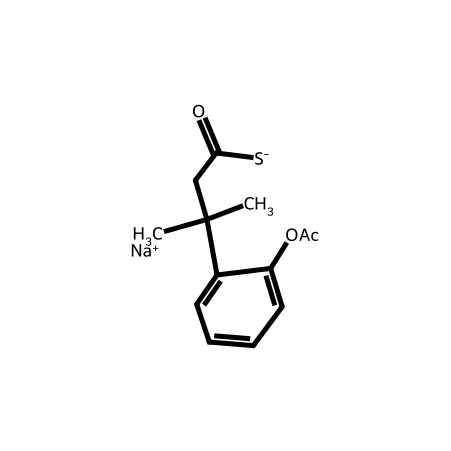 CC(=O)Oc1ccccc1C(C)(C)CC(=O)[S-].[Na+]